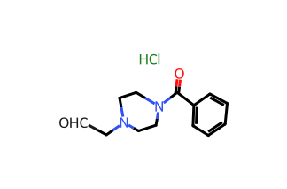 Cl.O=CCN1CCN(C(=O)c2ccccc2)CC1